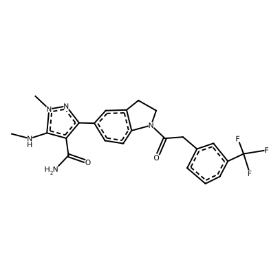 CNc1c(C(N)=O)c(-c2ccc3c(c2)CCN3C(=O)Cc2cccc(C(F)(F)F)c2)nn1C